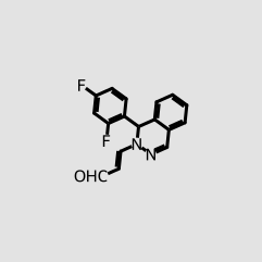 O=CC=CN1N=Cc2ccccc2C1c1ccc(F)cc1F